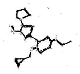 CCSc1ccc(OCC2CC2)c(C2=CC(NC)C(N3CCCC3)=C2)c1